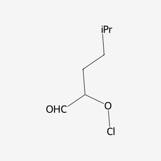 CC(C)CCC(C=O)OCl